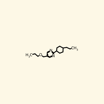 CCCOCc1cnc(C2CCC(CCC)CC2)nc1